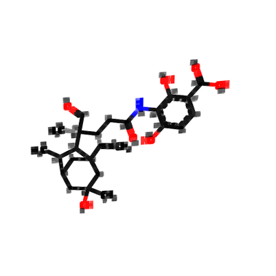 C=CC12CC(CC(C)(O)C1)C(C)C2[C@@](C)(C=O)CCC(=O)Nc1c(O)ccc(C(=O)O)c1O